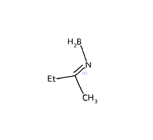 B/N=C(/C)CC